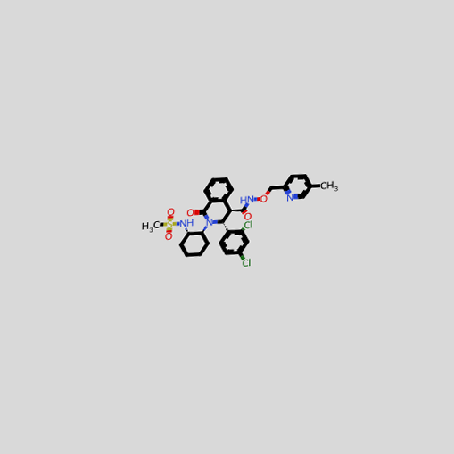 Cc1ccc(CONC(=O)[C@@H]2c3ccccc3C(=O)N([C@H]3CCCC[C@@H]3NS(C)(=O)=O)[C@H]2c2ccc(Cl)cc2Cl)nc1